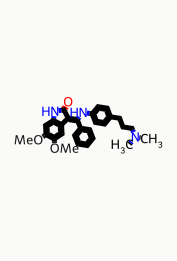 COc1cc2c(cc1OC)/C(=C(/Nc1ccc(CCCN(C)C)cc1)c1ccccc1)C(=O)N2